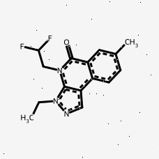 CCn1ncc2c3ccc(C)cc3c(=O)n(CC(F)F)c21